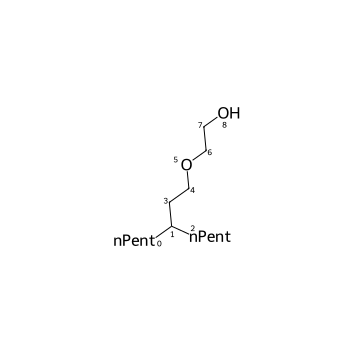 CCCCCC(CCCCC)CCOCCO